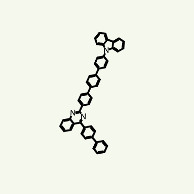 c1ccc(-c2ccc(-c3nc(-c4ccc(-c5ccc(-c6ccc(-n7c8ccccc8c8ccccc87)cc6)cc5)cc4)nc4ccccc34)cc2)cc1